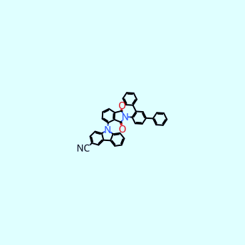 N#Cc1ccc2c(c1)c1ccccc1n2-c1cccc2c1C(=O)N(c1ccc(-c3ccccc3)cc1-c1ccccc1)C2=O